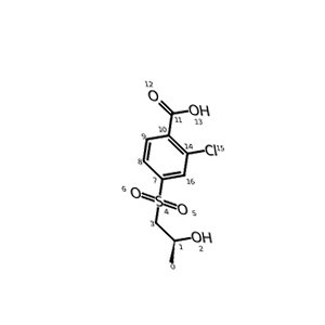 C[C@H](O)CS(=O)(=O)c1ccc(C(=O)O)c(Cl)c1